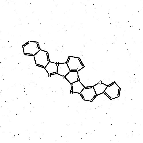 c1ccc2cc3c(cc2c1)nc1n3c2cccc3c2n1c1nc2ccc4c5ccccc5oc4c2n31